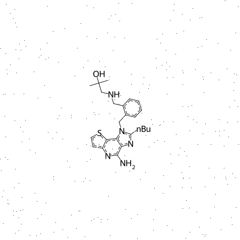 CCCCc1nc2c(N)nc3ccsc3c2n1Cc1ccccc1CNCC(C)(C)O